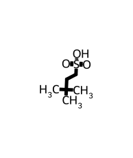 CC(C)(C)CCS(=O)(=O)O